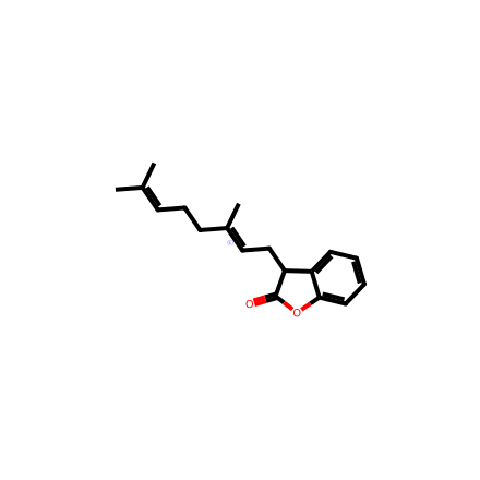 CC(C)=CCC/C(C)=C/CC1C(=O)Oc2ccccc21